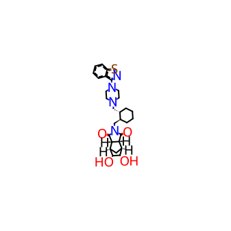 O=C1[C@@H]2[C@@H]3C[C@@H]([C@H](O)[C@H]3O)[C@@H]2C(=O)N1C[C@@H]1CCCC[C@H]1CN1CCN(c2nsc3ccccc23)CC1